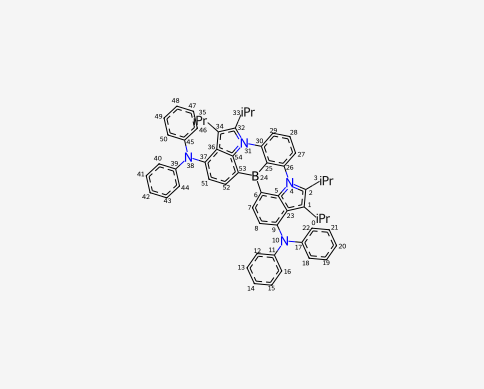 CC(C)c1c(C(C)C)n2c3c(ccc(N(c4ccccc4)c4ccccc4)c13)B1c3c-2cccc3-n2c(C(C)C)c(C(C)C)c3c(N(c4ccccc4)c4ccccc4)ccc1c32